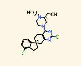 N#CC[C@H]1CN(c2nc(Cl)nc3c2CC[C@]2(CCc4c(Cl)cccc42)C3)CCN1C(=O)O